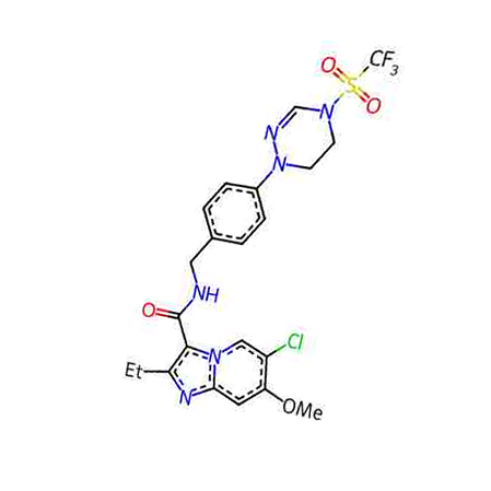 CCc1nc2cc(OC)c(Cl)cn2c1C(=O)NCc1ccc(N2CCN(S(=O)(=O)C(F)(F)F)C=N2)cc1